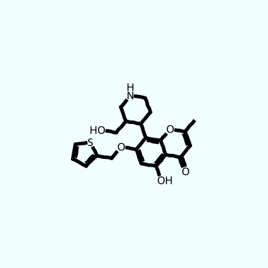 Cc1cc(=O)c2c(O)cc(OCc3cccs3)c(C3CCNCC3CO)c2o1